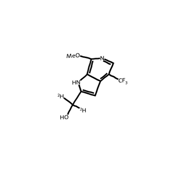 [2H]C([2H])(O)c1cc2c(C(F)(F)F)cnc(OC)c2[nH]1